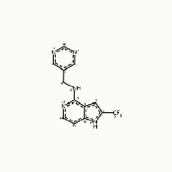 FC(F)(F)c1cc2c(NCc3cncnc3)nccc2[nH]1